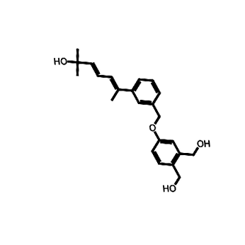 C/C(=C\C=C\C(C)(C)O)c1cccc(COc2ccc(CO)c(CO)c2)c1